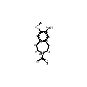 COc1cc2c(cc1S)CCN(C(C)=O)CC2